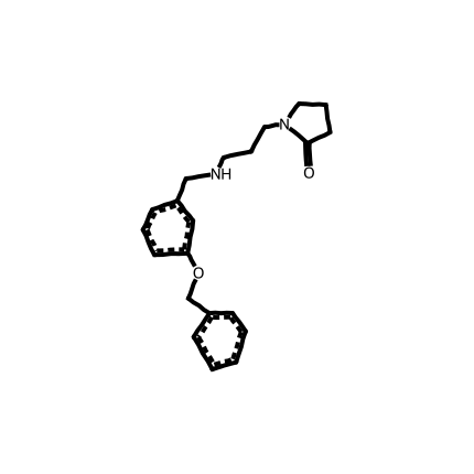 O=C1CCCN1CCCNCc1cccc(OCc2ccccc2)c1